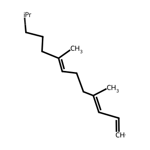 [CH]=C/C=C(\C)CC/C=C(\C)CCCC(C)C